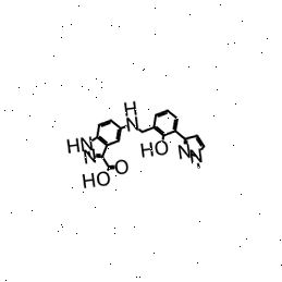 Cn1ccc(-c2cccc(CNc3ccc4[nH]nc(C(=O)O)c4c3)c2O)n1